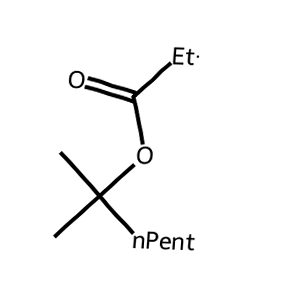 C[CH]C(=O)OC(C)(C)CCCCC